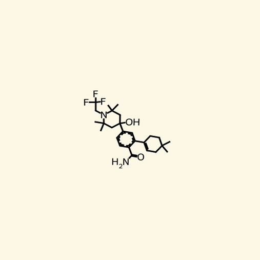 CC1(C)CC=C(c2cc(C3(O)CC(C)(C)N(CC(F)(F)F)C(C)(C)C3)ccc2C(N)=O)CC1